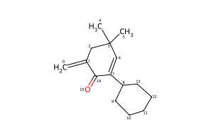 C=C1CC(C)(C)C=C(C2CCCCC2)C1=O